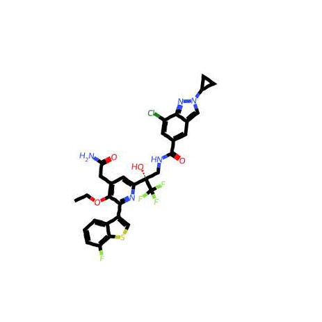 CCOc1c(CC(N)=O)cc([C@@](O)(CNC(=O)c2cc(Cl)c3nn(C4CC4)cc3c2)C(F)(F)F)nc1-c1csc2c(F)cccc12